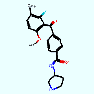 CCCOc1ccc(OC)c(F)c1C(=O)c1ccc(C(=O)N[C@H]2CCNC2)cc1